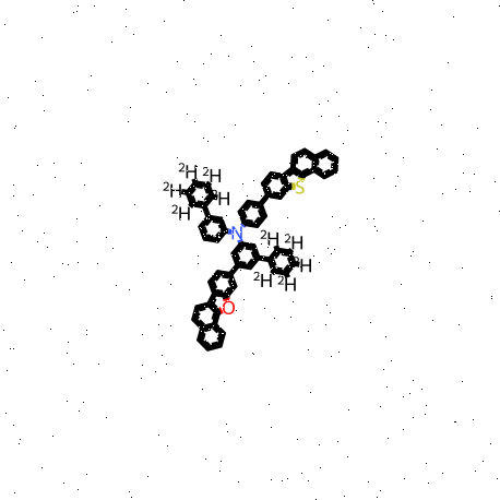 [2H]c1c([2H])c([2H])c(-c2cccc(N(c3ccc(-c4ccc5c(c4)sc4c6ccccc6ccc54)cc3)c3cc(-c4ccc5c(c4)oc4c6ccccc6ccc54)cc(-c4c([2H])c([2H])c([2H])c([2H])c4[2H])c3)c2)c([2H])c1[2H]